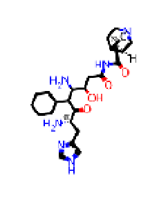 NC(C(O)CC(=O)NC(=O)[C@@H]1CN2CCC1CC2)C(C(=O)[C@@H](N)Cc1c[nH]cn1)C1CCCCC1